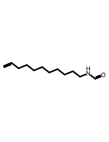 C=CCCCCCCCCCNC=O